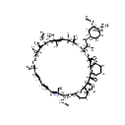 CO[C@H]1CC2CC[C@@H](C)C(O)(O2)C(=O)C(=O)N2CCCC[C@H]2C(=O)O[C@H]([C@H](C)C[C@@H]2CC[C@@H](O)[C@H](OC)C2)CC(=O)[C@H](C)/C=C(\C)[C@@H](O)[C@@H](OC)C(=O)[C@H](C)CC[C@H](C)/C=C/C=C/C=C/1C